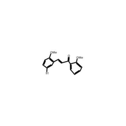 CCc1ccc(OC)c(C=CC(=O)c2ccccc2OC)c1